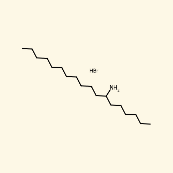 Br.CCCCCCCCCCCC(N)CCCCCC